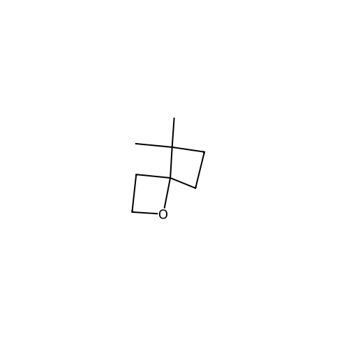 CC1(C)CCC12CCO2